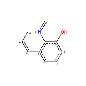 C=Nc1c(O)cccc1/C=C\C